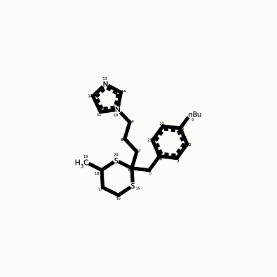 CCCCc1ccc(CC2(CCCn3ccnc3)SCCC(C)S2)cc1